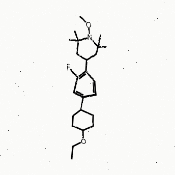 CCOC1CCC(c2ccc(C3CC(C)(C)N(OC)C(C)(C)C3)c(F)c2)CC1